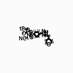 CC(C)(C)OC(=O)N(CC#N)S(=O)(=O)c1ccc(-c2nnn(CC3CCOCC3)n2)cc1